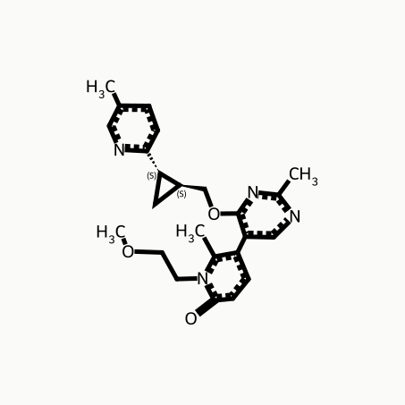 COCCn1c(C)c(-c2cnc(C)nc2OC[C@H]2C[C@@H]2c2ccc(C)cn2)ccc1=O